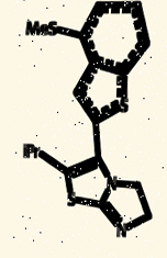 CSc1cccc2sc(C3=C(C(C)C)SC4=NCCN43)cc12